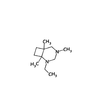 CCN1CN(C)CC2(C)CCC12C